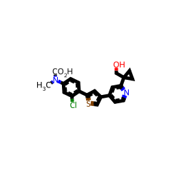 CN(C(=O)O)c1ccc(-c2cc(-c3ccnc(C4(CO)CC4)c3)cs2)c(Cl)c1